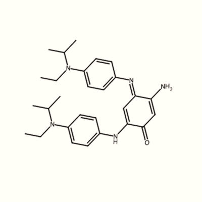 CCN(c1ccc(N=C2C=C(Nc3ccc(N(CC)C(C)C)cc3)C(=O)C=C2N)cc1)C(C)C